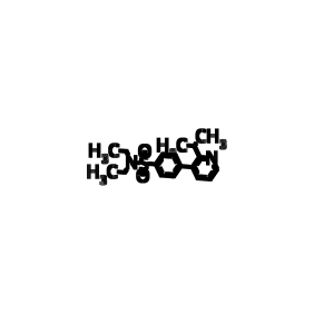 CCN(CC)S(=O)(=O)c1ccc(-c2cccnc2C(C)C)cc1